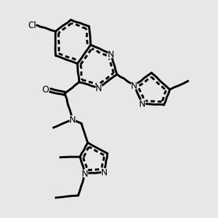 CCn1ncc(CN(C)C(=O)c2nc(-n3cc(C)cn3)nc3ccc(Cl)cc23)c1C